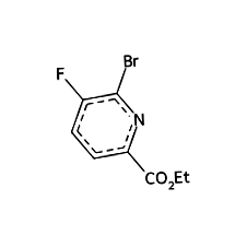 CCOC(=O)c1ccc(F)c(Br)n1